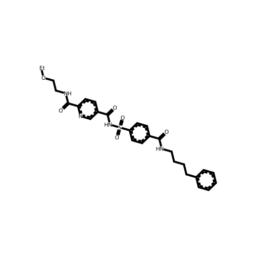 CCOCCNC(=O)c1ccc(C(=O)NS(=O)(=O)c2ccc(C(=O)NCCCCc3ccccc3)cc2)cn1